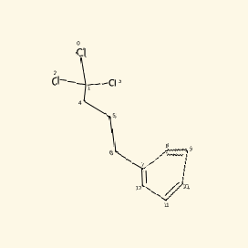 ClC(Cl)(Cl)CCCc1[c]cccc1